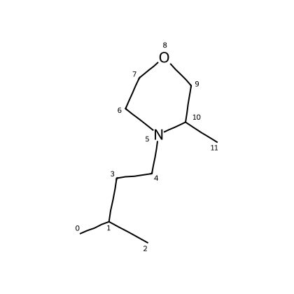 CC(C)CCN1CCOCC1C